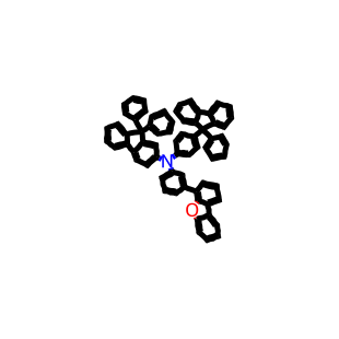 c1ccc(C2(c3ccc(N(c4cccc(-c5cccc6c5oc5ccccc56)c4)c4ccc5c(c4)C(c4ccccc4)(c4ccccc4)c4ccccc4-5)cc3)c3ccccc3-c3ccccc32)cc1